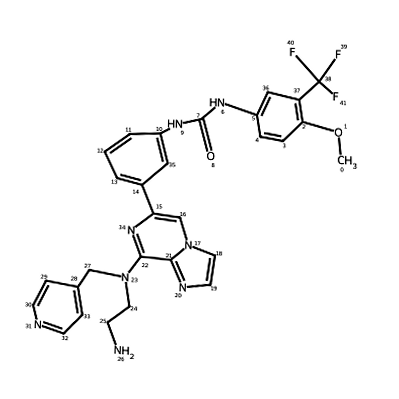 COc1ccc(NC(=O)Nc2cccc(-c3cn4ccnc4c(N(CCN)Cc4ccncc4)n3)c2)cc1C(F)(F)F